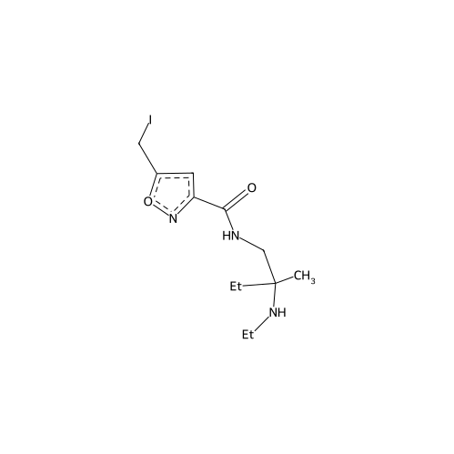 CCNC(C)(CC)CNC(=O)c1cc(CI)on1